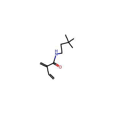 C=CC(=C)C(=O)NCCC(C)(C)C